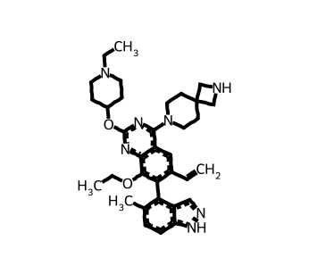 C=Cc1cc2c(N3CCC4(CC3)CNC4)nc(OC3CCN(CC)CC3)nc2c(OCC)c1-c1c(C)ccc2[nH]ncc12